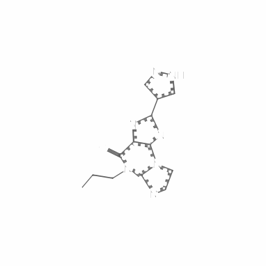 CCCn1c(=O)c2[nH]c(-c3cn[nH]c3)nc2n2ccnc12